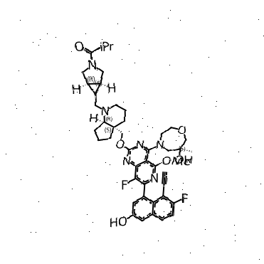 C#Cc1c(F)ccc2cc(O)cc(-c3nc(OC)c4c(N5CCOC[C@@](C)(O)C5)nc(OC[C@]56CCC[C@H]5N(CC5[C@H]7CN(C(=O)C(C)C)C[C@@H]57)CCC6)nc4c3F)c12